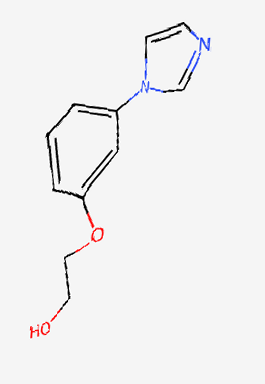 OCCOc1cccc(-n2ccnc2)c1